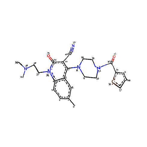 Cc1ccc2c(c1)c(N1CCN(C(=O)c3cccs3)CC1)c(C#N)c(=O)n2CCN(C)C